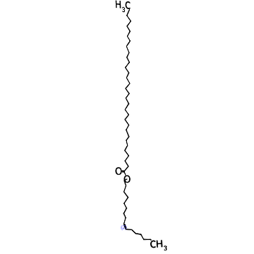 CCCCCC/C=C\CCCCCCCCOC(=O)CCCCCCCCCCCCCCCCCCCCCCCCCCCCCCCC